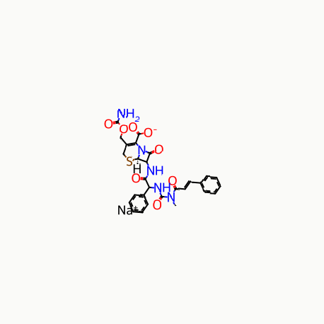 CN(C(=O)/C=C/c1ccccc1)C(=O)NC(C(=O)NC1C(=O)N2C(C(=O)[O-])=C(COC(N)=O)CS[C@H]12)c1ccccc1.[Na+]